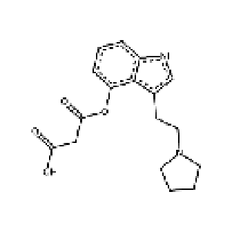 O=C(O)CC(=O)Oc1cccc2[nH]cc(CCN3CCCC3)c12